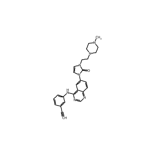 C#Cc1cccc(Nc2ncnc3ccc(-n4ccn(CCN5CCN(C)CC5)c4=O)cc23)c1